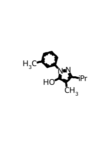 Cc1cccc(-n2nc(C(C)C)c(C)c2O)c1